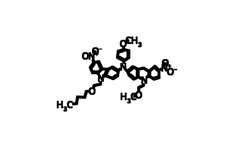 CCCCCOCCn1c2ccc(N(c3ccc(OC)cc3)c3ccc4c(c3)Cc3cc([N+](=O)[O-])ccc3N4CCOC)cc2c2cc([N+](=O)[O-])ccc21